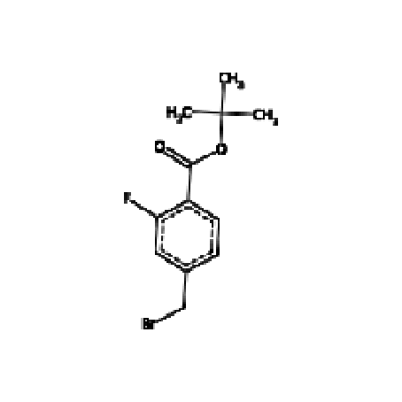 CC(C)(C)OC(=O)c1ccc(CBr)cc1F